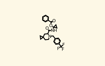 O=C(OC1(NC(=O)C2CC3(CCN2Cc2ccc(C(F)(F)F)cc2)CC3)CC1)c1ccccc1